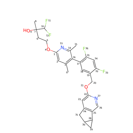 Cc1cc(OCCC(C)(O)C(F)F)nc(C)c1-c1cc(COc2cc3c(cn2)C2CC2C3)c(F)cc1F